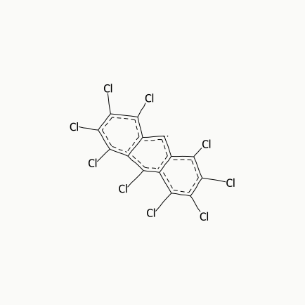 Clc1c(Cl)c(Cl)c2c(Cl)c3c(Cl)c(Cl)c(Cl)c(Cl)c3[c]c2c1Cl